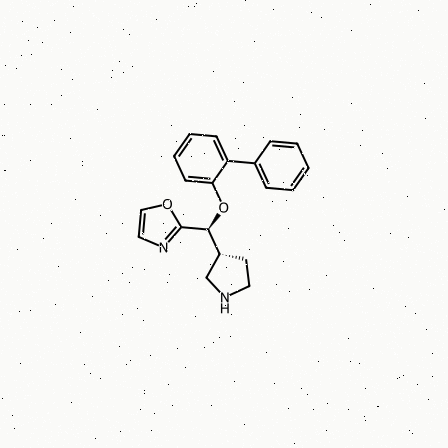 c1ccc(-c2ccccc2O[C@H](c2ncco2)[C@@H]2CCNC2)cc1